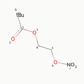 CC(C)(C)C(=O)OCCO[N+](=O)[O-]